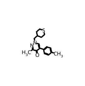 Cc1ccc(-c2cn(CC3CCSCC3)nc(C)c2=O)cc1